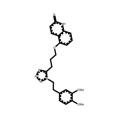 COc1ccc(CCn2nnnc2CCCOc2cccc3[nH]c(=O)ccc23)cc1OC